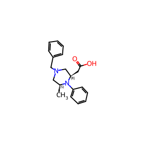 C[C@H]1CN(Cc2ccccc2)C[C@@H](CC(=O)O)N1c1ccccc1